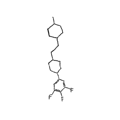 CC1CCC(CCC2CCC(c3cc(F)c(F)c(F)c3)CC2)CC1